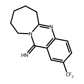 N=c1c2cc(C(F)(F)F)ccc2nc2n1CCCCC2